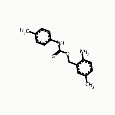 Cc1ccc(NC(=S)OCc2cc(C)ccc2N)cc1